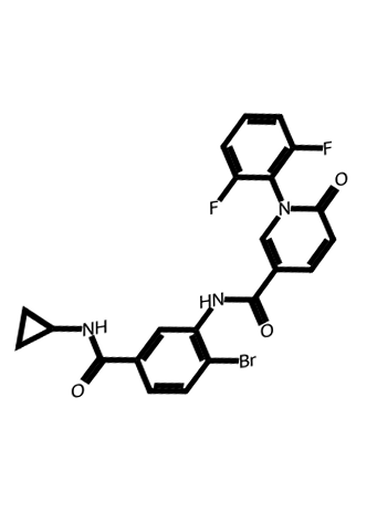 O=C(Nc1cc(C(=O)NC2CC2)ccc1Br)c1ccc(=O)n(-c2c(F)cccc2F)c1